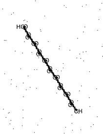 O=C(O)CCCCCOC(=O)CCCCCOC(=O)CCCCCOC(=O)CCCCCOC(=O)CCCCCOC(=O)CCCCCOC(=O)CCCCCOC(=O)CCCCCOC(=O)CCCCCOC(=O)CCCCCO